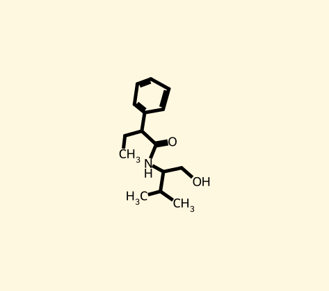 CCC(C(=O)NC(CO)C(C)C)c1ccccc1